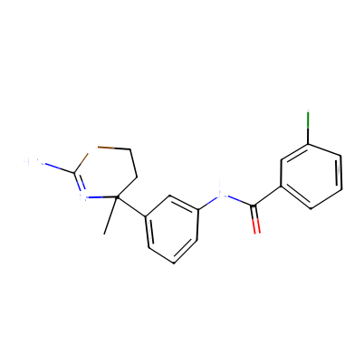 CC1(c2cccc(NC(=O)c3cccc(Cl)c3)c2)CCSC(N)=N1